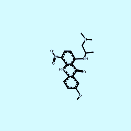 COc1ccc2[nH]c3c([N+](=O)[O-])ccc(NC(C)CN(C)C)c3c(=O)c2c1